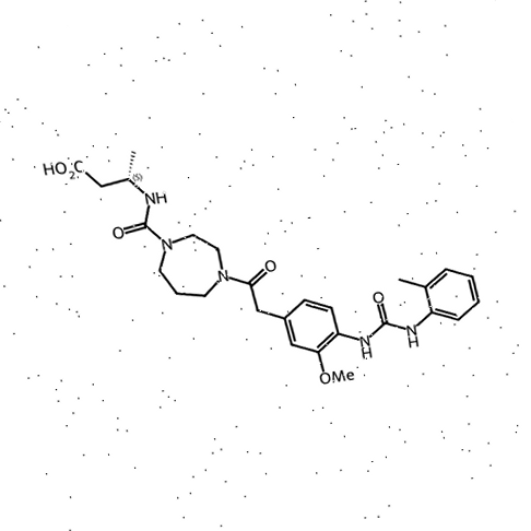 COc1cc(CC(=O)N2CCCN(C(=O)N[C@@H](C)CC(=O)O)CC2)ccc1NC(=O)Nc1ccccc1C